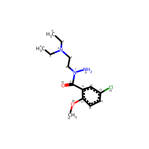 CCN(CC)CCN(N)C(=O)c1cc(Cl)ccc1OC